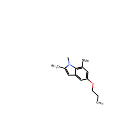 CNc1cc(OCCOC)cc2cc(C(=O)O)n(C)c12